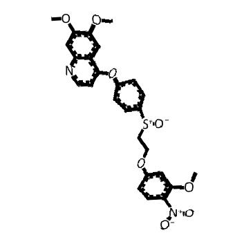 COc1cc2nccc(Oc3ccc([S+]([O-])CCOc4ccc([N+](=O)[O-])c(OC)c4)cc3)c2cc1OC